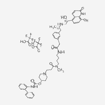 C[C@@H](Cc1cccc(CC(=O)NCCCCN(C)C(=O)CCN2CCC(OC(=O)Nc3ccccc3-c3ccccc3)CC2)c1)NC[C@H](O)c1ccc(O)c2[nH]c(=O)ccc12.O=C(O)C(F)(F)F.O=C(O)C(F)(F)F